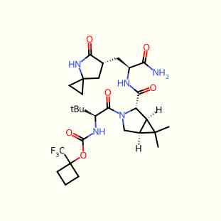 CC(C)(C)[C@H](NC(=O)OC1(C(F)(F)F)CCC1)C(=O)N1C[C@H]2[C@@H]([C@H]1C(=O)N[C@@H](C[C@@H]1CC3(CC3)NC1=O)C(N)=O)C2(C)C